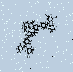 Cc1cc(C)cc(N(c2ccccc2)c2ccc(-c3cc4c5c(c3)C(C)(C)c3cc(-c6ccc(N(c7ccccc7)c7cc(C)cc(C)c7)cc6)cc6c3N5c3c(cccc3C6(C)C)C4(C)C)cc2)c1